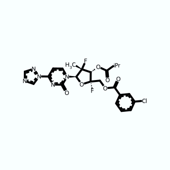 CC(C)C(=O)O[C@H]1[C@@](C)(F)[C@H](n2ccc(-n3cncn3)nc2=O)O[C@]1(F)COC(=O)c1cccc(Cl)c1